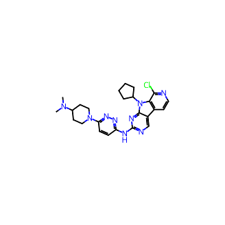 CN(C)C1CCN(c2ccc(Nc3ncc4c5ccnc(Cl)c5n(C5CCCC5)c4n3)nn2)CC1